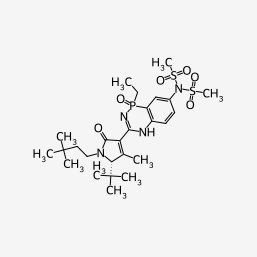 CCP1(=O)N=C(C2=C(C)[C@H](C(C)(C)C)N(CCC(C)(C)C)C2=O)Nc2ccc(N(S(C)(=O)=O)S(C)(=O)=O)cc21